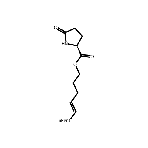 CCCCCC=CCCCOC(=O)[C@@H]1CCC(=O)N1